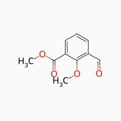 COC(=O)c1cccc(C=O)c1OC